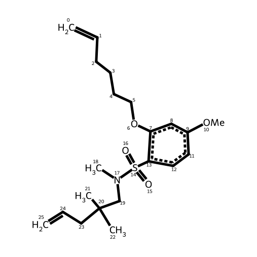 C=CCCCCOc1cc(OC)ccc1S(=O)(=O)N(C)CC(C)(C)CC=C